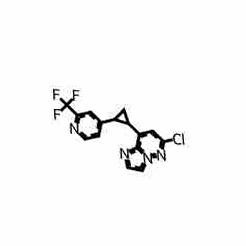 FC(F)(F)c1cc(C2CC2c2cc(Cl)nn3ccnc23)ccn1